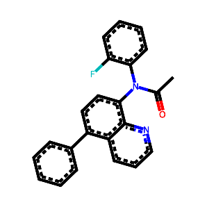 CC(=O)N(c1ccccc1F)c1ccc(-c2ccccc2)c2cccnc12